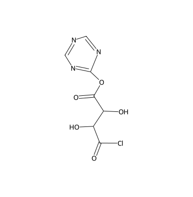 O=C(Cl)C(O)C(O)C(=O)Oc1ncncn1